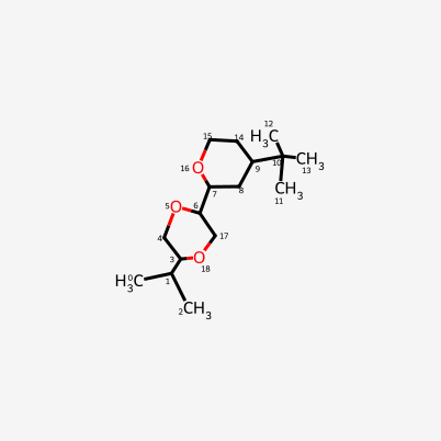 CC(C)C1COC(C2CC(C(C)(C)C)CCO2)CO1